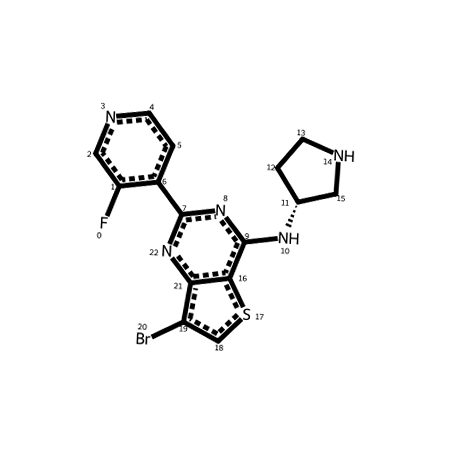 Fc1cnccc1-c1nc(N[C@@H]2CCNC2)c2scc(Br)c2n1